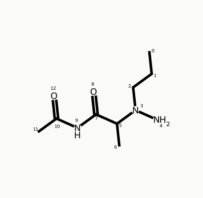 CCCN(N)C(C)C(=O)NC(C)=O